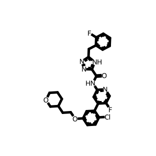 O=C(Nc1cc(-c2cc(OCCC3CCCOC3)ccc2Cl)c(F)cn1)c1nnc(Cc2ccccc2F)[nH]1